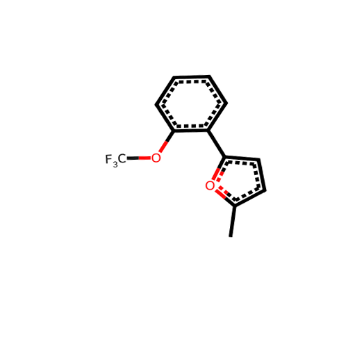 Cc1ccc(-c2ccccc2OC(F)(F)F)o1